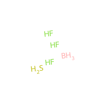 B.F.F.F.S